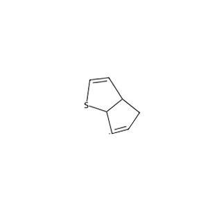 [C]1=CCC2C=CSC12